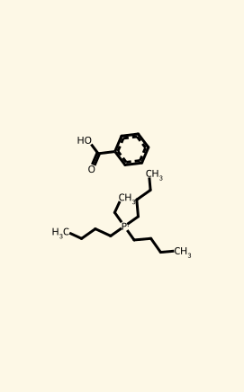 CCCC[P](CC)(CCCC)CCCC.O=C(O)c1ccccc1